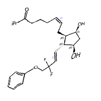 CC(C)C(=O)CCC/C=C\C[C@@H]1[C@@H](/C=C/C(F)(F)COc2ccccc2)[C@H](O)C[C@@H]1O